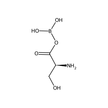 N[C@@H](CO)C(=O)OB(O)O